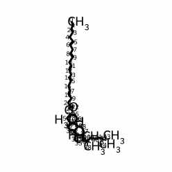 CC/C=C/C/C=C/C/C=C/C/C=C/C/C=C/C/C=C/CCC(=O)O[C@H]1CC[C@@]2(C)C(=CC[C@H]3[C@@H]4CC[C@H]([C@H](C)CCCC(C)C)[C@@]4(C)CC[C@@H]32)C1